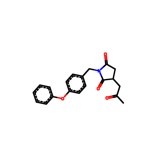 CC(=O)CC1CC(=O)N(Cc2ccc(Oc3ccccc3)cc2)C1=O